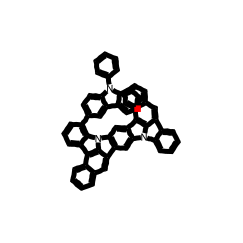 c1ccc(-n2c3ccccc3c3cc(-c4cccc5c6c7ccccc7cc7c8cc9c(cc8n(c45)c76)c4c5ccccc5cc5c6ccccc6n9c54)ccc32)cc1